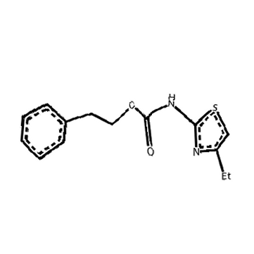 CCc1csc(NC(=O)OCCc2ccccc2)n1